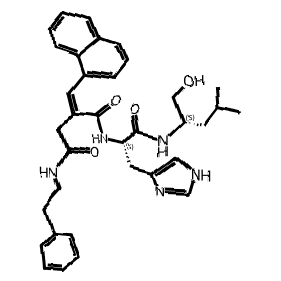 CC(C)C[C@@H](CO)NC(=O)[C@H](Cc1c[nH]cn1)NC(=O)C(=Cc1cccc2ccccc12)CC(=O)NCCc1ccccc1